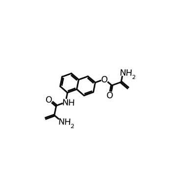 C=C(N)C(=O)Nc1cccc2cc(OC(=O)C(=C)N)ccc12